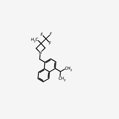 CC(C)c1ccc(CN2CC(C)(C(F)(F)F)C2)c2ccccc12